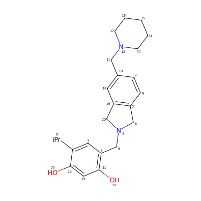 CC(C)c1cc(CN2Cc3ccc(CN4CCCCC4)cc3C2)c(O)cc1O